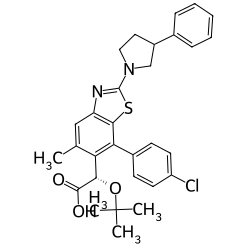 Cc1cc2nc(N3CCC(c4ccccc4)C3)sc2c(-c2ccc(Cl)cc2)c1[C@H](OC(C)(C)C)C(=O)O